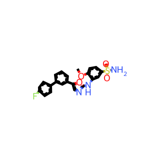 COc1ccc(S(N)(=O)=O)cc1Nc1ncc(-c2cccc(-c3ccc(F)cc3)c2)o1